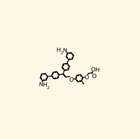 Cc1cc(OCC=C(c2ccc(-c3cccc(N)c3)cc2)c2ccc(-c3cccc(N)c3)cc2)ccc1OCC(=O)O